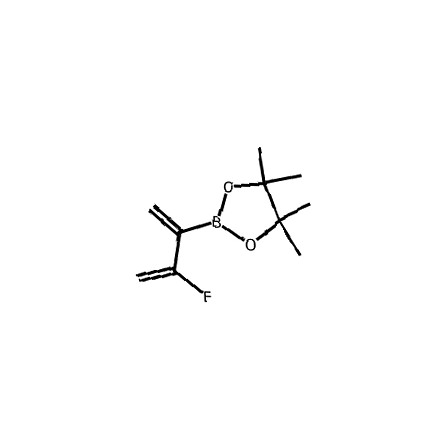 C=C(F)C(=C)B1OC(C)(C)C(C)(C)O1